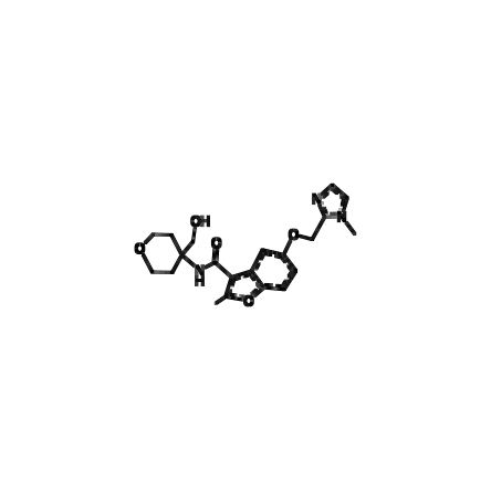 Cc1oc2ccc(OCc3nccn3C)cc2c1C(=O)NC1(CO)CCOCC1